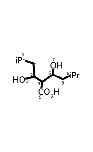 CC(C)CC(O)C(C(=O)O)C(O)CC(C)C